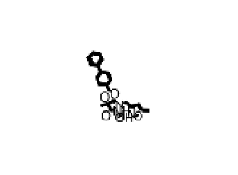 Cc1cc(CNC(=O)C(C)(OCc2ccc(-c3ccccc3)cc2)C(=O)NO)no1